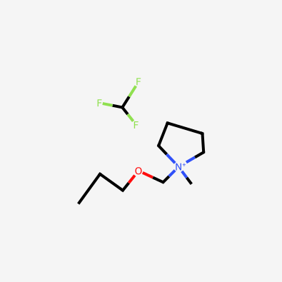 CCCOC[N+]1(C)CCCC1.FC(F)F